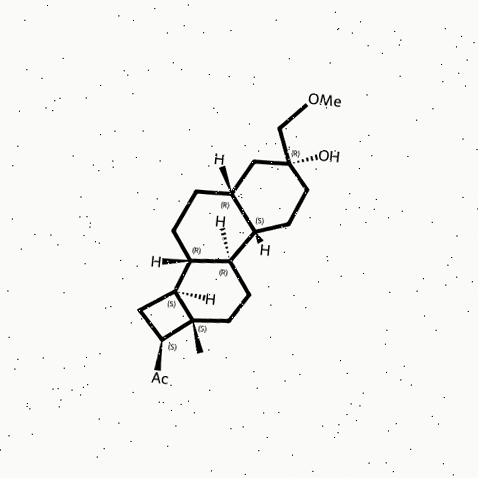 COC[C@@]1(O)CC[C@H]2[C@H](CC[C@@H]3[C@@H]2CC[C@]2(C)[C@@H](C(C)=O)C[C@@H]32)C1